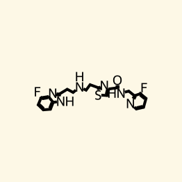 O=C(NCc1ncccc1F)c1csc(CCNCCc2nc3c(F)cccc3[nH]2)n1